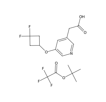 CC(C)(C)OC(=O)C(F)(F)F.O=C(O)Cc1cncc(OC2CC(F)(F)C2)c1